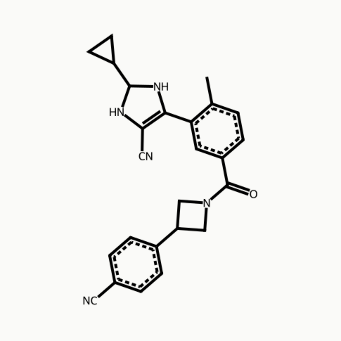 Cc1ccc(C(=O)N2CC(c3ccc(C#N)cc3)C2)cc1C1=C(C#N)NC(C2CC2)N1